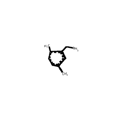 BCc1cc(C)ccc1C